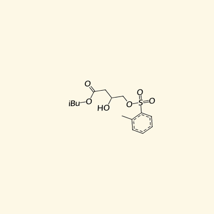 CCC(C)OC(=O)CC(O)COS(=O)(=O)c1ccccc1C